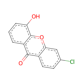 O=c1c2ccc(Cl)cc2oc2c(O)cccc12